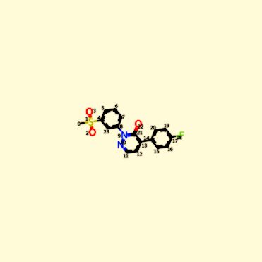 CS(=O)(=O)c1cccc(-n2nccc(-c3ccc(F)cc3)c2=O)c1